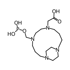 O=C(O)CN1CCCN2CCN(CCCN(COP(O)O)CC1)CC2